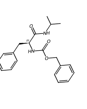 CC(C)NC(=O)[C@H](Cc1ccccc1)NC(=O)OCc1ccccc1